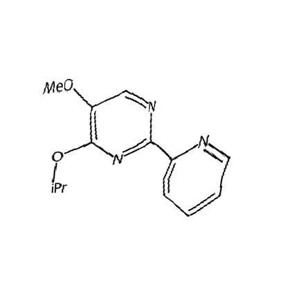 COc1cnc(-c2ccccn2)nc1OC(C)C